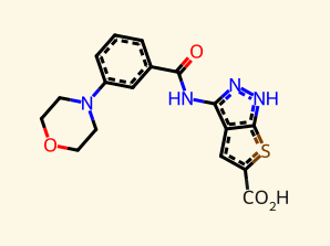 O=C(Nc1n[nH]c2sc(C(=O)O)cc12)c1cccc(N2CCOCC2)c1